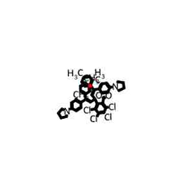 Cc1ccc(C(=CC2(C=C(c3ccc(C)cc3)c3ccc(N4CCCC4)cc3C)OC(=O)c3c(Cl)c(Cl)c(Cl)c(Cl)c32)c2ccc(N3CCCC3)cc2C)cc1